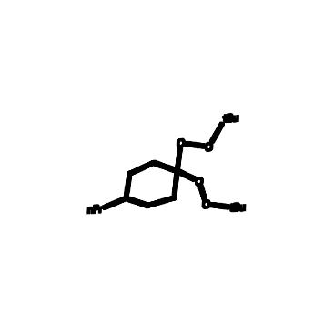 CCCC1CCC(OOC(C)(C)C)(OOC(C)(C)C)CC1